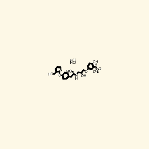 CS(=O)(=O)Nc1cc(OC[C@H](O)CN[C@H](CO)Cc2ccc(Oc3ncccc3CO)cc2)ccc1O.Cl.Cl